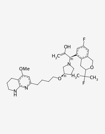 C=C(O)[C@@H](c1cc(F)cc2c1CC(C(C)(C)F)OC2)N1CC[C@@H](OCCCCc2cc(OC)c3c(n2)NCCC3)C1